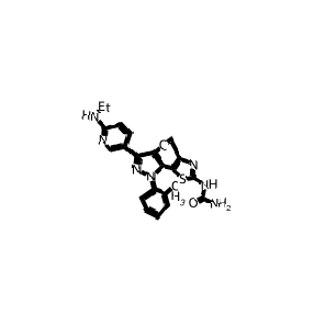 CCNc1ccc(-c2nn(-c3ccccc3C)c3c2CCc2nc(NC(N)=O)sc2-3)cn1